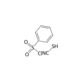 N#CS.O=S(=O)(Cl)c1ccccc1